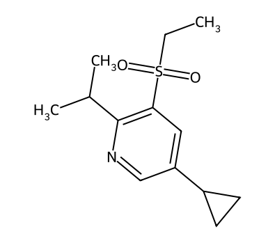 CCS(=O)(=O)c1cc(C2CC2)cnc1C(C)C